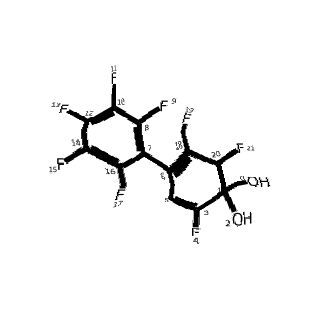 OC1(O)C(F)=CC(c2c(F)c(F)c(F)c(F)c2F)=C(F)C1F